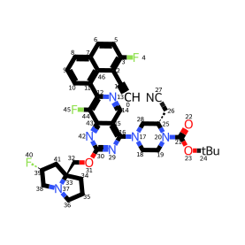 C#Cc1c(F)ccc2cccc(-c3ncc4c(N5CCN(C(=O)OC(C)(C)C)[C@@H](CC#N)C5)nc(OC[C@@]56CCCN5C[C@H](F)C6)nc4c3F)c12